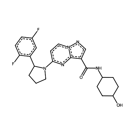 O=C(NC1CCC(O)CC1)c1cnn2ccc(N3CCCC3c3cc(F)ccc3F)nc12